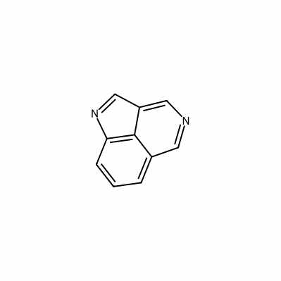 C1=Nc2cccc3cncc1c23